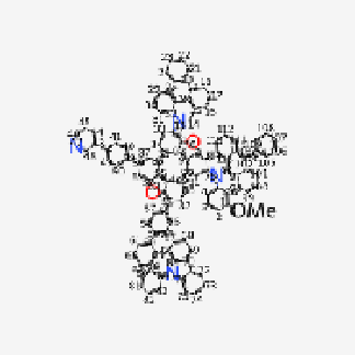 COc1cccc(N(c2cc3oc4c(N5Cc6cccc(-c7ccccc7)c6-c6ccccc65)ccc5c6cc(-c7ccc(-c8cccnc8)cc7)cc7oc8c(-c9ccc(-c%10ccccc%10-c%10cccc%11c%12ccccc%12n(-c%12ccccc%12)c%10%11)cc9)ccc(c(c2)c3c45)c8c76)c2c3ccccc3c(-c3ccccc3)c3ccccc23)c1